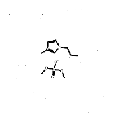 CCCn1cc[n+](C)c1.COP(=O)([O-])OC